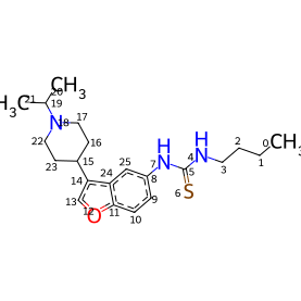 CCCCNC(=S)Nc1ccc2occ(C3CCN(C(C)C)CC3)c2c1